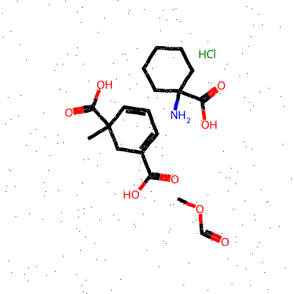 CC1(C(=O)O)C=CC=C(C(=O)O)C1.COC=O.Cl.NC1(C(=O)O)CCCCC1